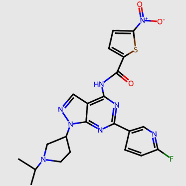 CC(C)N1CCC(n2ncc3c(NC(=O)c4ccc([N+](=O)[O-])s4)nc(-c4ccc(F)nc4)nc32)C1